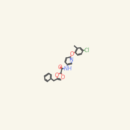 Cc1cc(Cl)ccc1Oc1ccc(NC(=O)C2OC=C(Cc3ccccc3)O2)cn1